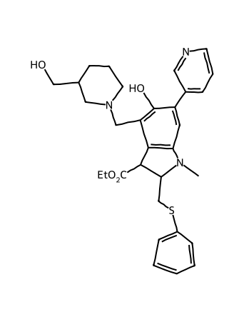 CCOC(=O)C1c2c(cc(-c3cccnc3)c(O)c2CN2CCCC(CO)C2)N(C)C1CSc1ccccc1